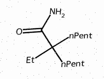 [CH2]CC(CCCCC)(CCCCC)C(N)=O